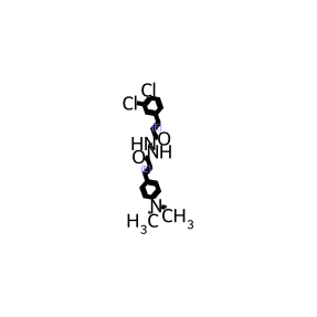 CCN(CC)c1ccc(/C=C/C(=O)NNC(=O)/C=C/c2ccc(Cl)c(Cl)c2)cc1